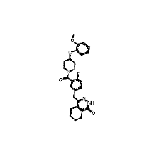 COc1ccccc1OC1CCN(C(=O)c2cc(Cc3n[nH]c(=O)c4c3CCCC4)ccc2F)CC1